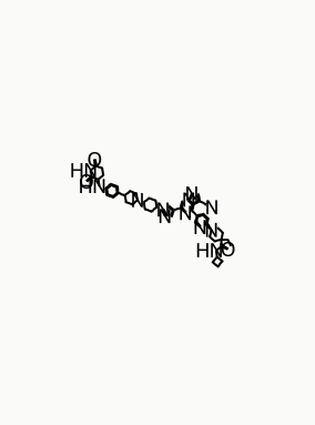 CCC1(C(=O)NC2CCC2)CCN(c2ccc(-c3nc(-c4cnn(C5CCC(N6CCC(c7ccc(NC8CCC(=O)NC8=O)cc7)CC6)CC5)c4)cn4ncc(C#N)c34)cn2)CC1